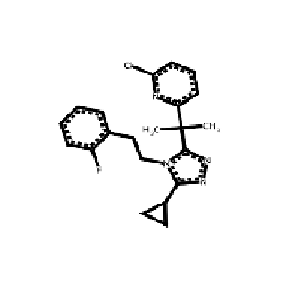 CC(C)(c1cccc(Cl)n1)c1nnc(C2CC2)n1CCc1ccccc1F